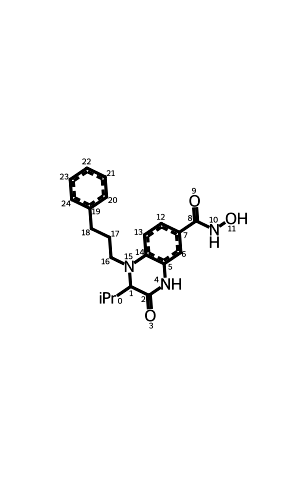 CC(C)C1C(=O)Nc2cc(C(=O)NO)ccc2N1CCCc1ccccc1